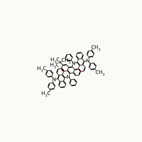 Cc1ccc(N(c2ccc(C)cc2)c2c3ccccc3c(N(c3ccccc3)c3c4ccccc4c(N(c4ccccc4)c4c5ccccc5c(N(c5ccc(C)cc5)c5ccc(C)cc5)c5ccccc45)c4cc(C(C)(C)C)ccc34)c3ccccc23)cc1